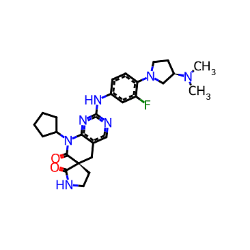 CN(C)[C@@H]1CCN(c2ccc(Nc3ncc4c(n3)N(C3CCCC3)C(=O)[C@]3(CCNC3=O)C4)cc2F)C1